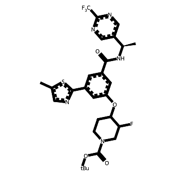 Cc1cnc(-c2cc(OC3CCN(C(=O)OC(C)(C)C)CC3F)cc(C(=O)N[C@H](C)c3cnc(C(F)(F)F)nc3)c2)s1